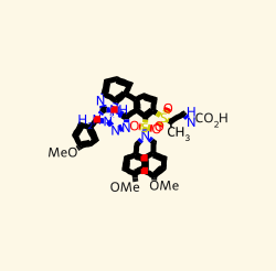 COc1ccc(CN(Cc2ccc(OC)cc2)S(=O)(=O)c2c(S(=O)(=O)[C@@H](C)CNC(=O)O)ccc(-c3cccc4nc(N)[nH]c34)c2-c2nnn(Cc3ccc(OC)cc3)n2)cc1